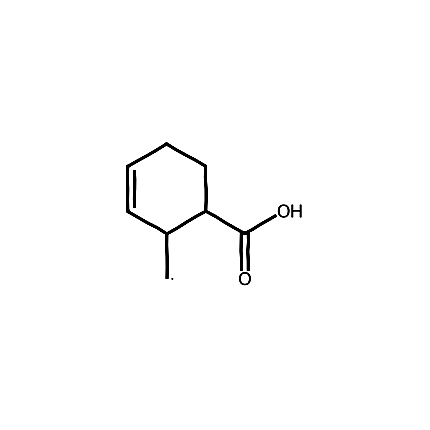 [CH2]C1C=CCCC1C(=O)O